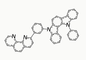 c1ccc(-n2c3ccccc3c3ccc4c(c5ccccc5n4-c4cccc(-c5ccc6ccc7cccnc7c6n5)c4)c32)cc1